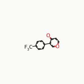 O=c1ccocc1-c1ccc(C(F)(F)F)cc1